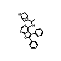 CC(Nc1ncnc2oc(-c3ccccc3)c(-c3ccccc3)c12)N1CC2CC1CN2